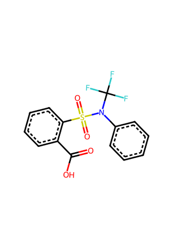 O=C(O)c1ccccc1S(=O)(=O)N(c1ccccc1)C(F)(F)F